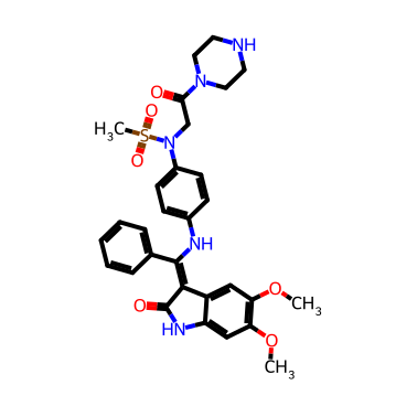 COc1cc2c(cc1OC)C(=C(Nc1ccc(N(CC(=O)N3CCNCC3)S(C)(=O)=O)cc1)c1ccccc1)C(=O)N2